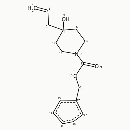 C=CCC1(O)CCN(C(=O)OCc2ccccc2)CC1